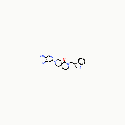 N=C1C=NC(N2CCC3(CCCN(CC4CNc5ccccc54)C3=O)CC2)=CC1=N